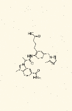 CNC(=O)c1ccc2c(C)cn(C(C)C(=O)Nc3ccc(Cn4ncnc4C)cc3CCCC(=O)O)c2c1